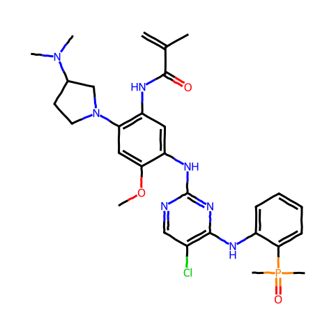 C=C(C)C(=O)Nc1cc(Nc2ncc(Cl)c(Nc3ccccc3P(C)(C)=O)n2)c(OC)cc1N1CCC(N(C)C)C1